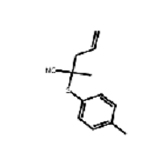 C=CCC(C)(C#N)Sc1ccc(C)cc1